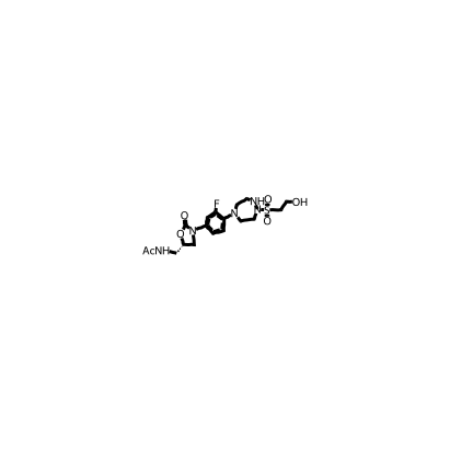 CC(=O)NC[C@H]1CN(c2ccc(N3CCNN(S(=O)(=O)CCO)CC3)c(F)c2)C(=O)O1